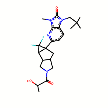 CC(O)C(=O)N1CC2CC3(c4ccc5c(n4)n(C)c(=O)n5CC(C)(C)C)C(C2C1)C3(F)F